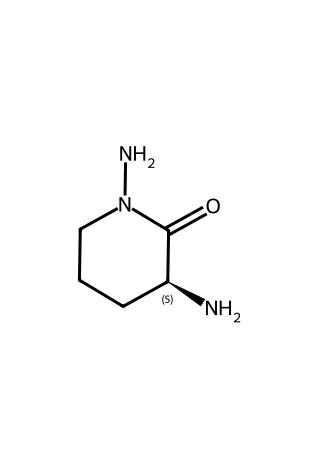 N[C@H]1CCCN(N)C1=O